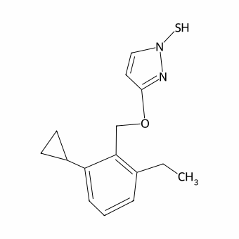 CCc1cccc(C2CC2)c1COc1ccn(S)n1